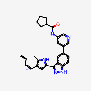 C=C/C=C\c1cc(-c2n[nH]c3ccc(-c4cncc(NC(=O)C5CCCC5)c4)cc23)[nH]c1C